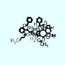 CCCCC(=O)O[C@@H](C(=O)O[C@H]1C[C@@]2(O)[C@@H](OC(=O)c3ccccc3)C3[C@](C)(C(=O)[C@H](OC(C)=O)C(=C1C)C2(C)C)[C@@H](O)C[C@H]1CC[C@@]31OC(C)=O)[C@@H](NC(=O)c1ccccc1)c1ccccc1